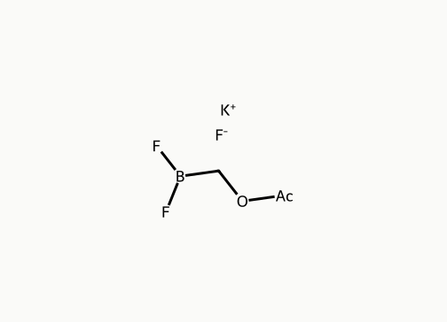 CC(=O)OCB(F)F.[F-].[K+]